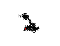 CC#C[C@]12CC[C@H]3[C@@H]4CCC5=CC(=O)CCC5=C4[C@@H](c4ccc(N(C)CCCC(=O)N5CCN(C(=O)OC)CC5C(=O)N5CCN(C(=O)OC)CC5C(=O)N(C)CCCOCCOCCOCCCNc5cccc6c5C(=O)N(C5CCC(=O)NC5=O)C6=O)cc4)C[C@@]31O2